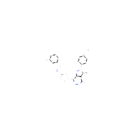 CCOc1ccc(-n2nc3c(N4CCC(NCc5cccc(O)c5)C4)nnc(C)c3c2C)c(F)c1